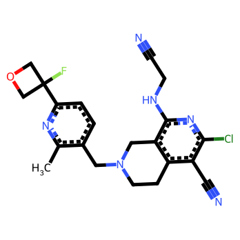 Cc1nc(C2(F)COC2)ccc1CN1CCc2c(C#N)c(Cl)nc(NCC#N)c2C1